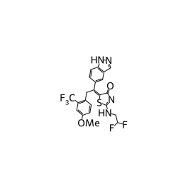 COc1ccc(CC(=C2SC(NCC(F)F)=NC2=O)c2ccc3[nH]ncc3c2)c(C(F)(F)F)c1